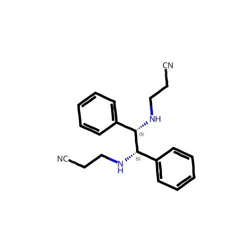 N#CCCN[C@@H](c1ccccc1)[C@@H](NCCC#N)c1ccccc1